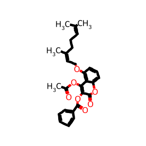 CC(=O)Oc1c(OC(=O)c2ccccc2)c(=O)oc2cccc(OCC=C(C)CCC=C(C)C)c12